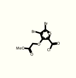 COC(=O)COc1c(C(=O)Cl)sc(Br)c1Br